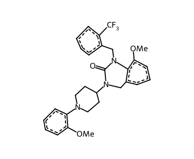 COc1ccccc1N1CCC(N2Cc3cccc(OC)c3N(Cc3ccccc3C(F)(F)F)C2=O)CC1